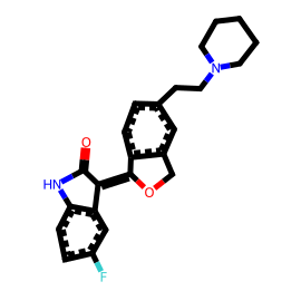 O=C1Nc2ccc(F)cc2/C1=C1\OCc2cc(CCN3CCCCC3)ccc21